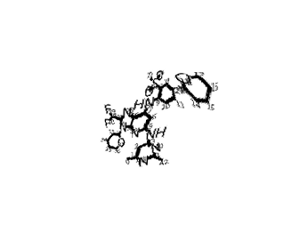 Cc1cc(Nc2cc(Nc3ccc([C@H]4CCCCO4)cc3S(C)(=O)=O)c3nc(C(F)F)n(C4CCCCO4)c3n2)nc(C)n1